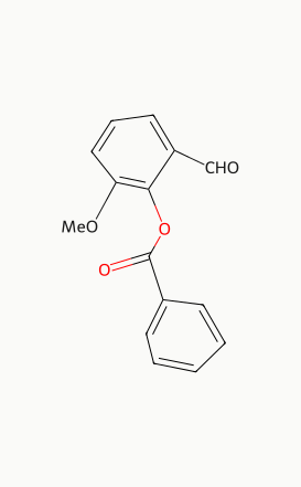 COc1cccc(C=O)c1OC(=O)c1ccccc1